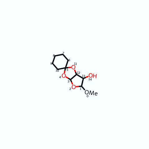 COC1OC2OC3(CCCCC3)OC2C1O